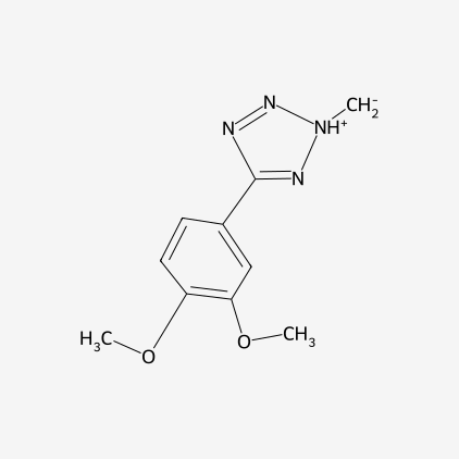 [CH2-][NH+]1N=NC(c2ccc(OC)c(OC)c2)=N1